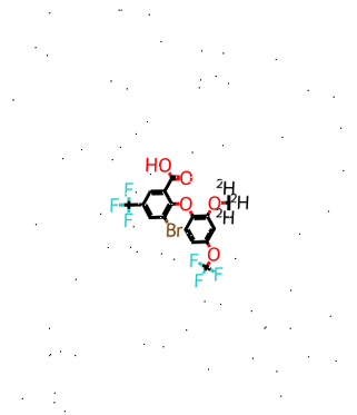 [2H]C([2H])([2H])Oc1cc(OC(F)(F)F)ccc1Oc1c(Br)cc(C(F)(F)F)cc1C(=O)O